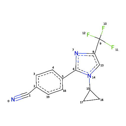 N#Cc1ccc(-c2nc(C(F)(F)F)cn2C2CC2)cc1